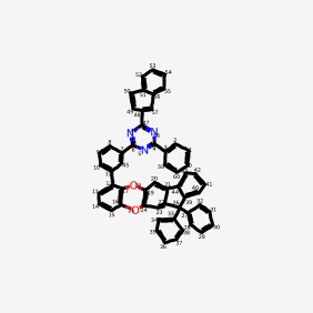 c1ccc(-c2nc(-c3cccc(-c4cccc5c4Oc4cc6c(cc4O5)C(c4ccccc4)(c4ccccc4)c4ccccc4-6)c3)nc(-c3ccc4ccccc4c3)n2)cc1